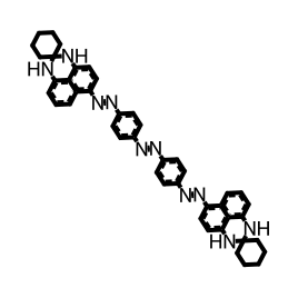 c1cc2c3c(ccc(/N=N/c4ccc(/N=N/c5ccc(/N=N/c6ccc7c8c(cccc68)NC6(CCCCC6)N7)cc5)cc4)c3c1)NC1(CCCCC1)N2